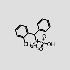 Cc1ccccc1C(c1ccccc1)N(C)S(=O)(=O)O